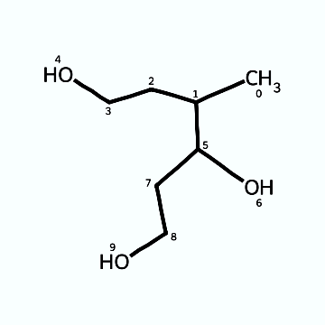 CC(CCO)C(O)CCO